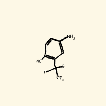 N#Cc1ccc(N)cc1C(F)(F)C(F)(F)F